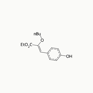 CCCCOC(=Cc1ccc(O)cc1)C(=O)OCC